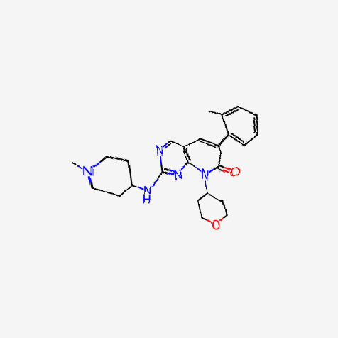 Cc1ccccc1-c1cc2cnc(NC3CCN(C)CC3)nc2n(C2CCOCC2)c1=O